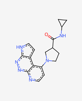 O=C(NC1CC1)C1CCN(c2ccnc3nnc4[nH]ccc4c23)C1